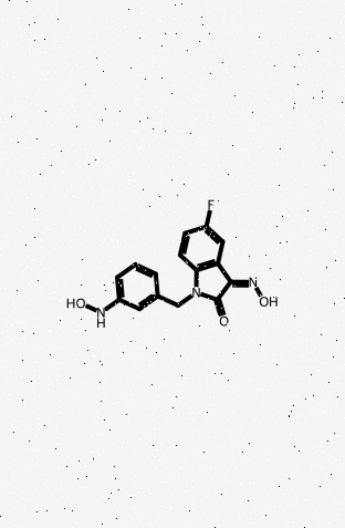 O=C1/C(=N\O)c2cc(F)ccc2N1Cc1cccc(NO)c1